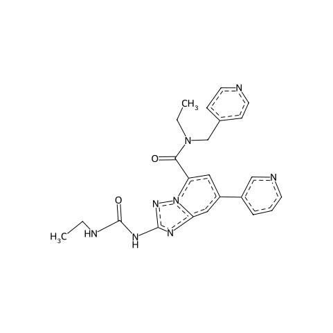 CCNC(=O)Nc1nc2cc(-c3cccnc3)cc(C(=O)N(CC)Cc3ccncc3)n2n1